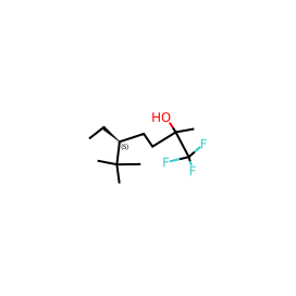 CC[C@@H](CCC(C)(O)C(F)(F)F)C(C)(C)C